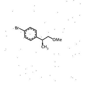 COC[C@@H](C)c1ccc(Br)cc1